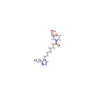 Cc1n[c]cn1CCCCCCCC(=O)N1CCOC(SO)C1